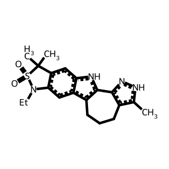 CCN1c2cc3c4c([nH]c3cc2C(C)(C)S1(=O)=O)-c1n[nH]c(C)c1CCC4